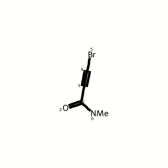 CNC(=O)C#CBr